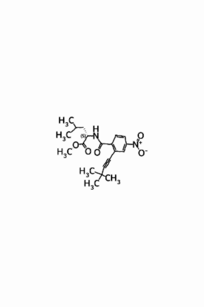 COC(=O)[C@H](CC(C)C)NC(=O)c1ccc([N+](=O)[O-])cc1C#CC(C)(C)C